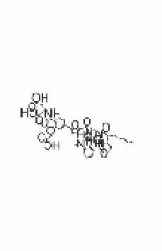 CCCCCC(C(=O)NCNC(=O)c1ccc(-c2ccc(C(=O)NC(CC(=O)O)C(=O)O)c(OCC(=O)O)c2)o1)C(CC)N(C=O)OC(=O)c1ccccc1NC